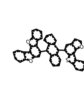 c1ccc2c(c1)oc1c2c(-c2c3ccccc3c(-c3cc4ccoc4c4c3sc3ccccc34)c3ccccc23)cc2oc3ccccc3c21